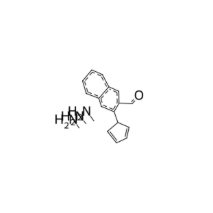 CN.CN.CN.O=Cc1cc2ccccc2cc1C1C=CC=C1